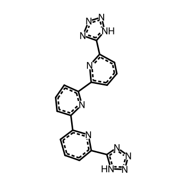 c1cc(-c2cccc(-c3nnn[nH]3)n2)nc(-c2cccc(-c3nnn[nH]3)n2)c1